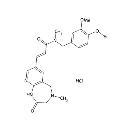 CCOc1ccc(CN(C)C(=O)C=Cc2cnc3c(c2)CN(C)CC(=O)N3)cc1OC.Cl